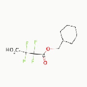 O=C(O)C(F)(F)C(F)(F)C(=O)OCC1CCCCC1